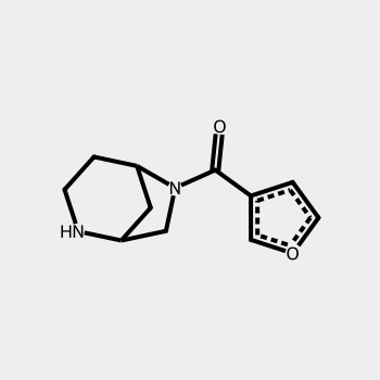 O=C(c1ccoc1)N1CC2CC1CCN2